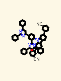 N#Cc1cccc(-c2ccc3c4ccc(-c5cccc(C#N)c5)cc4n(-c4ccc(-c5cc(-c6ccccc6)nc(-c6ccccc6)n5)cc4-c4nc(-c5ccccc5)cc(-c5ccccc5)n4)c3c2)c1